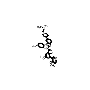 COc1ccncc1-c1nc(C)cc(C(=O)Nc2nc3ccc(C4CCN(CCN(C)C)CC4)cc3n2[C@H]2CC[C@@H](O)CC2)c1F